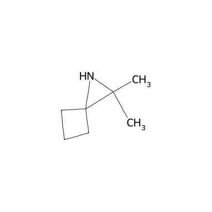 CC1(C)NC12CCC2